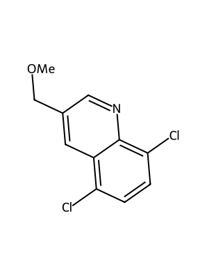 COCc1cnc2c(Cl)ccc(Cl)c2c1